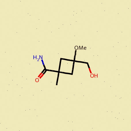 COC1(CO)CC(C)(C(N)=O)C1